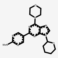 CNc1ncc(-c2nc(N3CCOCC3)c3ncn(C4CCCCO4)c3n2)cn1